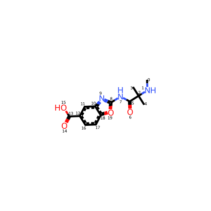 CNC(C)(C)C(=O)Nc1nc2cc(C(=O)O)ccc2o1